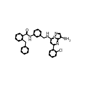 Bc1cnn2c(NCc3cccc(NC(=O)c4ccccc4Cc4ccccc4)c3)cc(-c3ccccc3Cl)nc12